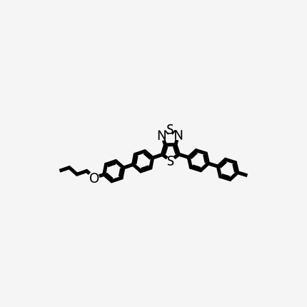 CCCCOc1ccc(-c2ccc(-c3sc(-c4ccc(-c5ccc(C)cc5)cc4)c4c3N=S=N4)cc2)cc1